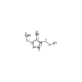 OCc1cnn(CCF)c1Br